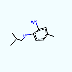 Cc1ccc(NCC(C)C)c(N)c1